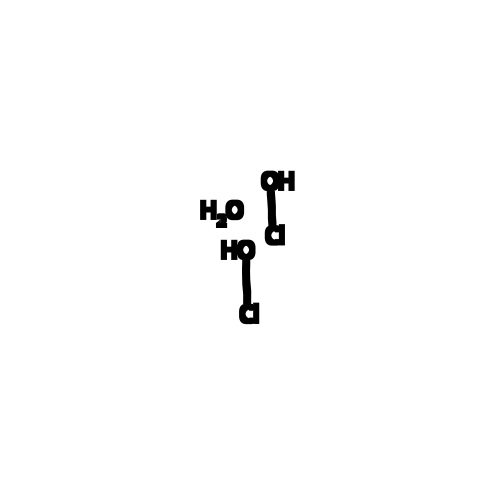 O.OCl.OCl